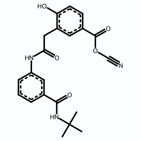 CC(C)(C)NC(=O)c1cccc(NC(=O)Cc2cc(C(=O)OC#N)ccc2O)c1